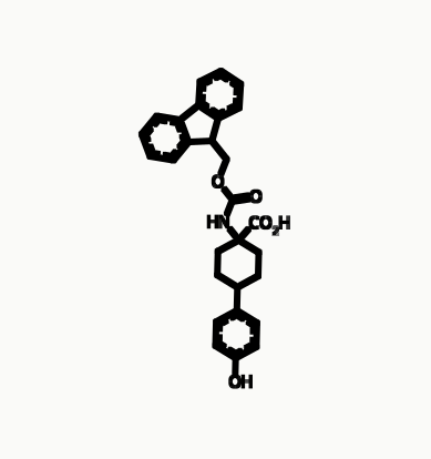 O=C(NC1(C(=O)O)CCC(c2ccc(O)cc2)CC1)OCC1c2ccccc2-c2ccccc21